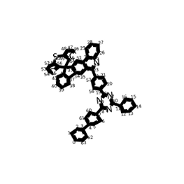 c1ccc(-c2ccc(-c3nc(-c4ccccc4)nc(-c4ccc(-c5nc6ccccc6c6cc7c(cc56)-c5ccccc5C75c6ccccc6Sc6ccccc65)cc4)n3)cc2)cc1